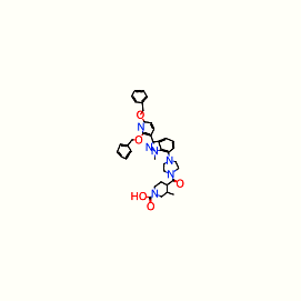 CC1CN(C(=O)O)CCC1C(=O)N1CCN(c2cccc3c(-c4ccc(OCc5ccccc5)nc4OCc4ccccc4)nn(C)c23)CC1